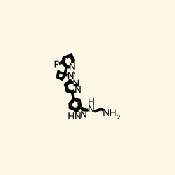 CN(c1ccc(-c2ccc3[nH]nc(NCCN)c3c2)nn1)C1(c2ncccc2F)CCC1